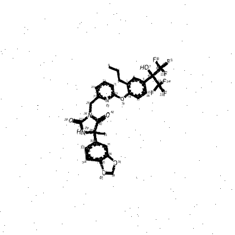 CCCc1cc(C(O)(C(F)(F)F)C(F)(F)F)ccc1Oc1cccc(CN2C(=O)NC(C)(c3ccc4c(c3)OCO4)C2=O)n1